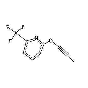 CC#COc1cccc(C(F)(F)F)n1